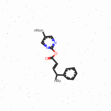 CCCCCCCCCc1cnc(OC(=O)/C=C/C(CCCC)c2ccccc2)nc1